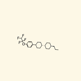 CCC[C@H]1CC[C@H](C2CCC(c3ccc(OC(F)(F)C(F)F)cc3)CC2)CC1